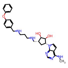 CNc1ncnc2c1ccn2[C@@H]1C[C@H](CNCCCNCc2ccc(Oc3ccccc3)cc2)[C@@H](O)[C@H]1O